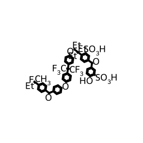 CCC(Oc1ccc(C(c2ccc(Oc3ccc(C(=O)c4ccc(C(C)(F)CC)cc4)cc3)cc2)(C(F)(F)F)C(F)(F)F)cc1)C(CC)(CC)c1ccc(C(=O)c2ccc(O)c(S(=O)(=O)O)c2)cc1S(=O)(=O)O